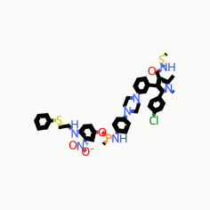 CSNC(=O)c1c(-c2cccc(N3CCN(c4ccc(NP(C)Oc5ccc(NCCSc6ccccc6)c([N+](=O)[O-])c5)cc4)CC3)c2)c(-c2ccc(Cl)cc2)n(C)c1C